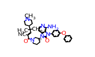 CN1CCC(C(C)(C)C=C(C#N)C(=O)N2CCC[C@@H](n3c(=O)n(-c4ccc(Oc5ccccc5)cc4)c4c(N)nccc43)C2)CC1